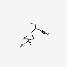 CCC(C#N)COP(=O)(O)O